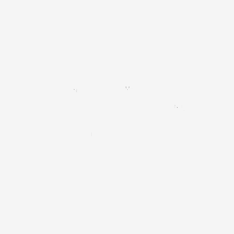 COc1c(CCN)cc(Cl)c(F)c1C1CN(C(=O)O)C1